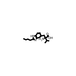 CCCCc1nc2cc(CC(N)(C(=O)O)C(C)C)ccc2[nH]1